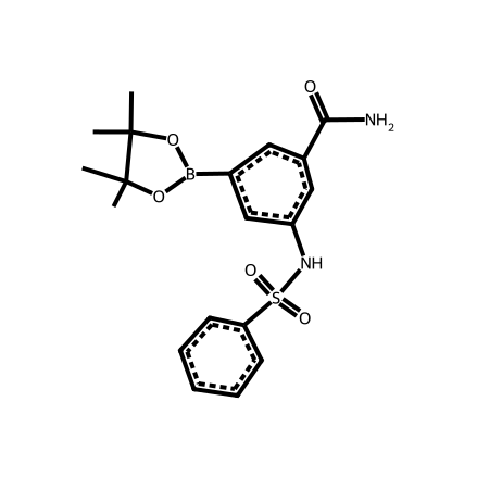 CC1(C)OB(c2cc(NS(=O)(=O)c3ccccc3)cc(C(N)=O)c2)OC1(C)C